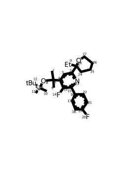 CCC1(c2cc(C(C)(C)O[Si](C)(C)C(C)(C)C)c(F)c(-c3ccc(F)cc3)n2)CCCCO1